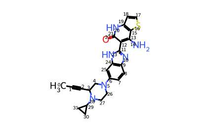 CC#CC1CN(c2ccc3nc(-c4c(N)c5sccc5[nH]c4=O)[nH]c3c2)CCN1C1CC1